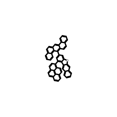 c1ccc2cc3c(cc2c1)oc1cc(-c2c4ccc5ccccc5c4cc4ccc5ccccc5c24)cc(-c2ccc4ccc5cccc6ccc2c4c56)c13